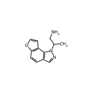 CC(CN)n1ncc2ccc3occc3c21